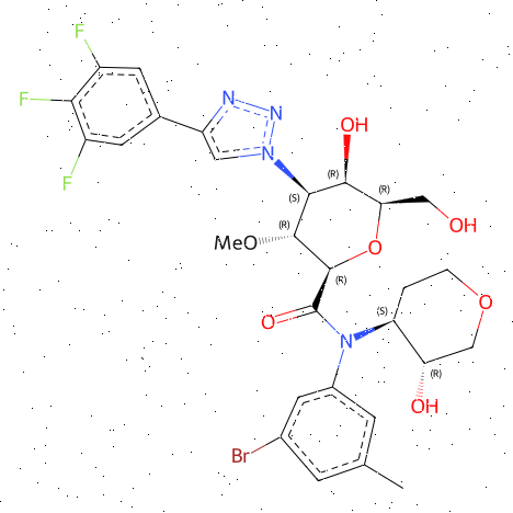 CO[C@@H]1[C@@H](n2cc(-c3cc(F)c(F)c(F)c3)nn2)[C@@H](O)[C@@H](CO)O[C@H]1C(=O)N(c1cc(C)cc(Br)c1)[C@H]1CCOC[C@@H]1O